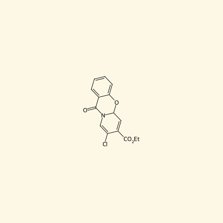 CCOC(=O)C1=CC2Oc3ccccc3C(=O)N2C=C1Cl